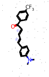 CN(C)c1ccc(/C=C/C=C/C(=O)c2ccc(C(F)(F)F)cc2)cc1